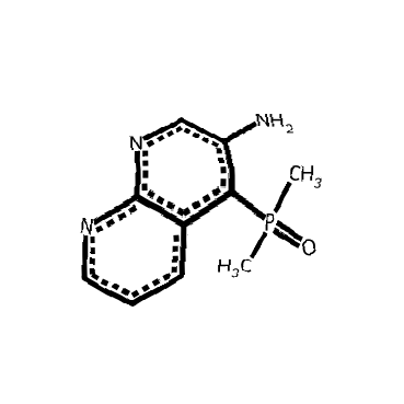 CP(C)(=O)c1c(N)cnc2ncccc12